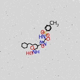 Cc1ccc(S(=O)(=O)NC(=O)c2noc(C(CCCC3CCCCC3)CC(=O)NO)n2)cc1